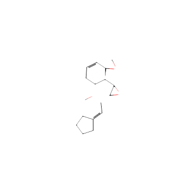 CO[C@@H]1[C@H](O)C=C[C@]2(CO2)[C@H]1[C@@]1(C)O[C@@H]1CC=C1CCCC1